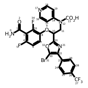 NC(=O)c1c(F)ccc(OC(CN(C(=O)O)c2ccncc2)c2nc(-c3ccc(C(F)(F)F)cc3)c(Br)o2)c1F